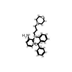 Nc1cccnc1N(CCCN1CCOCC1)c1ccccc1C(=O)c1ccccc1